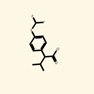 CC(C)C(C(=O)Cl)c1ccc(SC(F)F)cc1